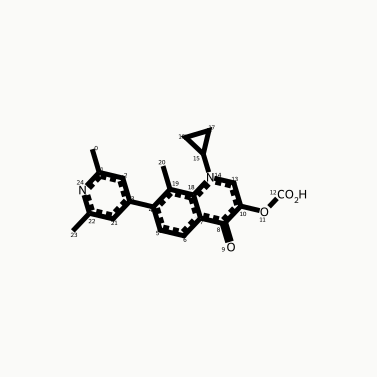 Cc1cc(-c2ccc3c(=O)c(OC(=O)O)cn(C4CC4)c3c2C)cc(C)n1